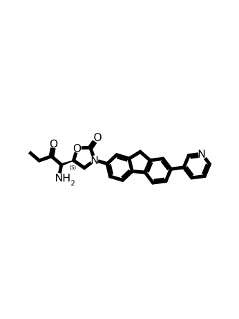 CCC(=O)C(N)[C@@H]1CN(c2ccc3c(c2)Cc2cc(-c4cccnc4)ccc2-3)C(=O)O1